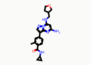 Cc1cc(-c2cnn3c(NCC4CCOC4)cc(N)nc23)ccc1C(=O)NC1CC1